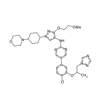 COCCOc1nn(C2CCC(N3CCOCC3)CC2)cc1Nc1ncc(-c2ccc(Cl)c(OC(C)Cn3cncn3)c2)cn1